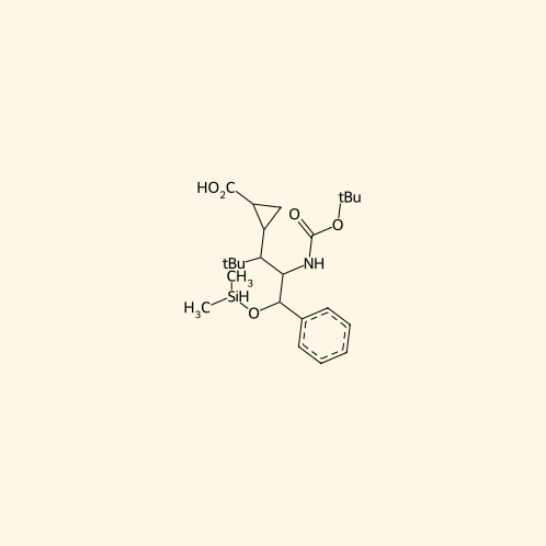 C[SiH](C)OC(c1ccccc1)C(NC(=O)OC(C)(C)C)C(C1CC1C(=O)O)C(C)(C)C